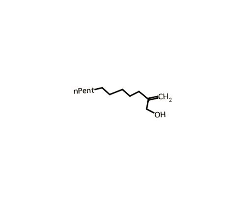 C=C(CO)CCCCCCCCCC